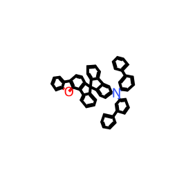 c1ccc(-c2cccc(N(c3cccc(-c4ccccc4)c3)c3ccc4c(c3)-c3ccccc3C43c4ccccc4-c4c3ccc3c4oc4ccccc43)c2)cc1